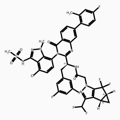 Cc1cc(F)ccc1-c1ccc2c(=O)n(-c3ccc(Cl)c4c(NS(C)(=O)=O)nn(C)c34)c([C@H](Cc3cc(F)cc(F)c3)NC(=O)Cn3nc(C(F)F)c4c3C(F)(F)[C@@H]3C[C@H]43)nc2c1